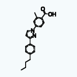 CCCCc1ccc(-c2ccn(-c3ccc(C(=O)O)c(C)c3)n2)cc1